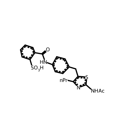 CCCc1nc(NC(C)=O)sc1Cc1ccc(NC(=O)c2ccccc2S(=O)(=O)O)cc1